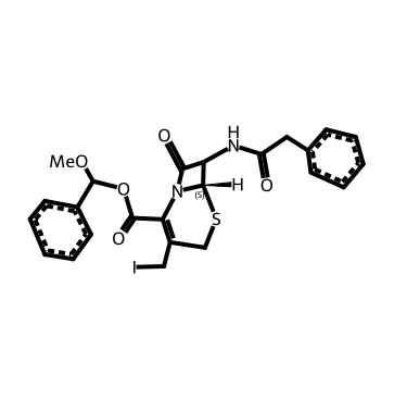 COC(OC(=O)C1=C(CI)CS[C@H]2C(NC(=O)Cc3ccccc3)C(=O)N12)c1ccccc1